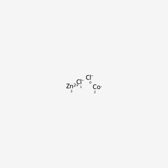 [Cl-].[Cl-].[Co].[Zn+2]